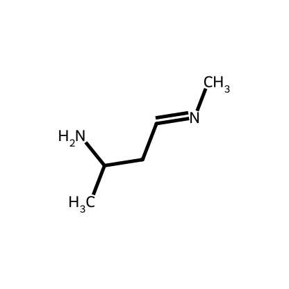 CN=CCC(C)N